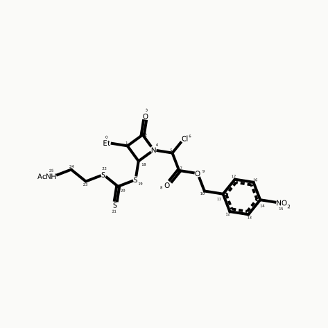 CCC1C(=O)N(C(Cl)C(=O)OCc2ccc([N+](=O)[O-])cc2)C1SC(=S)SCCNC(C)=O